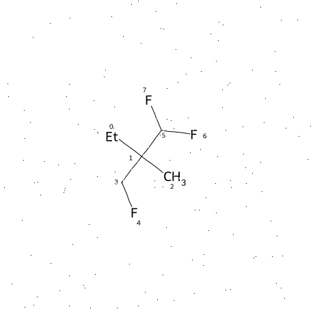 CCC(C)(CF)C(F)F